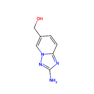 Nc1nc2ccc(CO)cn2n1